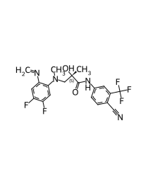 C=Nc1cc(F)c(F)cc1N(C)C[C@](C)(O)C(=O)Nc1ccc(C#N)c(C(F)(F)F)c1